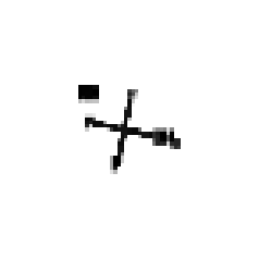 BC(F)(F)F.[KH]